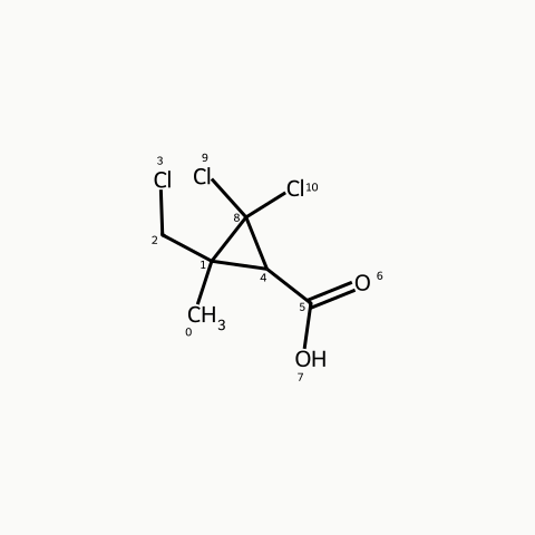 CC1(CCl)C(C(=O)O)C1(Cl)Cl